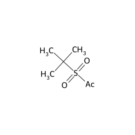 CC(=O)S(=O)(=O)C(C)(C)C